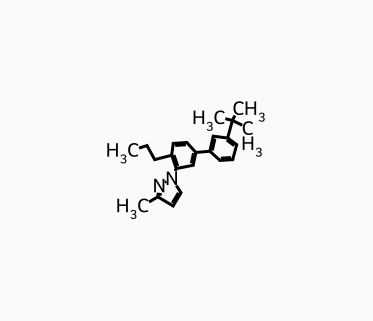 CCCc1ccc(-c2cccc(C(C)(C)C)c2)cc1-n1ccc(C)n1